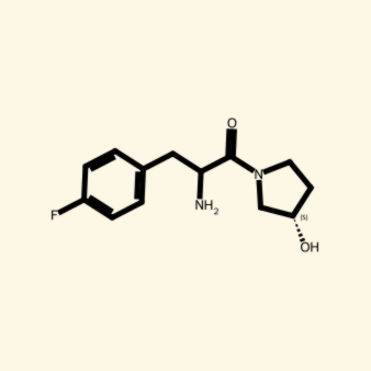 NC(Cc1ccc(F)cc1)C(=O)N1CC[C@H](O)C1